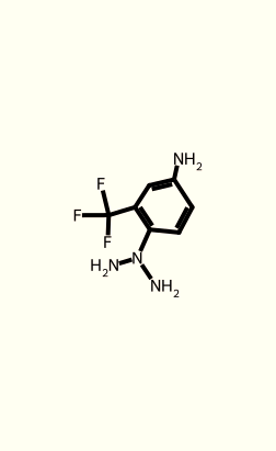 Nc1ccc(N(N)N)c(C(F)(F)F)c1